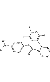 O=C(Oc1ccc([N+](=O)[O-])cc1)N1C=NC=CC1c1cc(F)c(F)cc1F